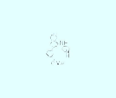 COCc1cccc(-c2cc(NC3CCNCC3)c3cnccc3c2)c1